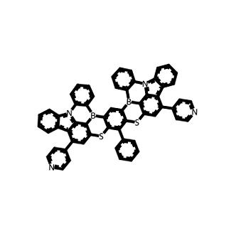 c1ccc(-c2c3c(cc4c2Sc2cc(-c5ccncc5)c5c6ccccc6n6c5c2B4c2ccccc2-6)B2c4ccccc4-n4c5ccccc5c5c(-c6ccncc6)cc(c2c54)S3)cc1